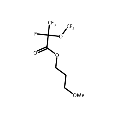 COCCCOC(=O)C(F)(OC(F)(F)F)C(F)(F)F